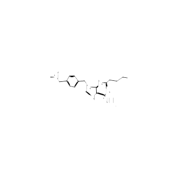 CCCCc1nc(N)c2ncn(Cc3ccc(CN(C)C)cc3)c2n1